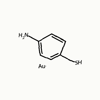 Nc1ccc(S)cc1.[Au]